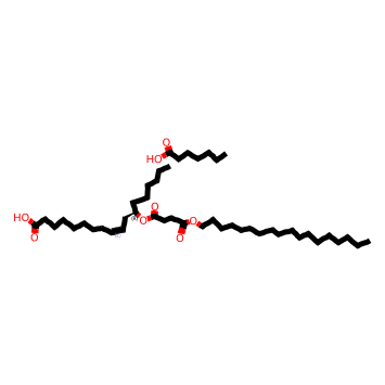 CCCCCCC(=O)O.CCCCCCCCCCCCCCCCCCOC(=O)CCC(=O)O[C@@H](C/C=C\CCCCCCCC(=O)O)CCCCCC